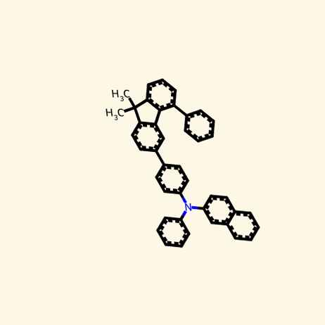 CC1(C)c2ccc(-c3ccc(N(c4ccccc4)c4ccc5ccccc5c4)cc3)cc2-c2c(-c3ccccc3)cccc21